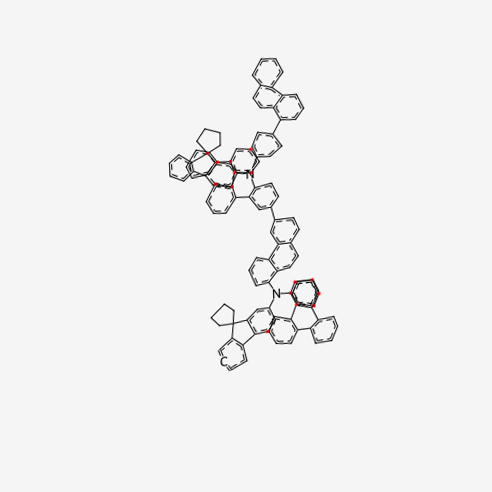 c1ccc(-c2ccccc2-c2ccccc2-c2cc(-c3ccc4ccc5c(N(c6ccc7c(c6)C6(CCCC6)c6ccccc6-7)c6ccccc6-c6ccccc6-c6ccccc6-c6ccccc6)cccc5c4c3)ccc2N(c2ccc(-c3cccc4c3ccc3ccccc34)cc2)c2ccc3c(c2)C2(CCCC2)c2ccccc2-3)cc1